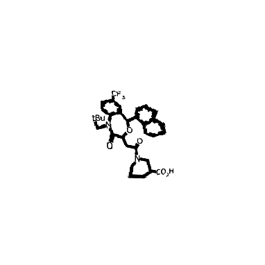 CC(C)(C)CN1C(=O)C(CC(=O)N2CCCC(C(=O)O)C2)OC(c2cccc3ccccc23)c2cc(C(F)(F)F)ccc21